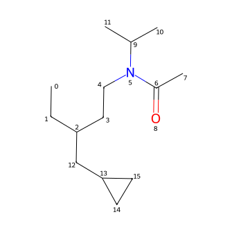 CCC(CCN(C(C)=O)C(C)C)CC1CC1